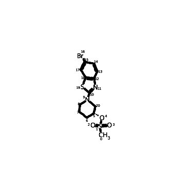 CS(=O)(=O)O[C@@H]1CCCN(c2nc3ccc(Br)cc3s2)C1